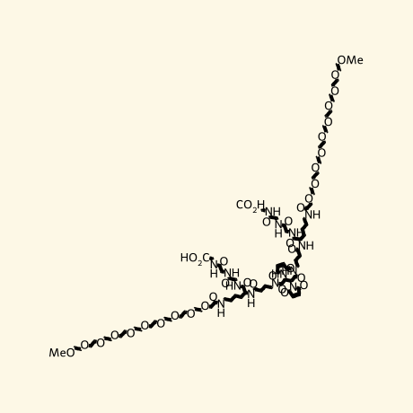 COCCOCCOCCOCCOCCOCCOCCOCCOCCOCC(=O)NCCCCC(NC(=O)CCCNC(=O)C(C(C(=O)NCCCC(=O)NC(CCCCNC(=O)COCCOCCOCCOCCOCCOCCOCCOCCOCCOC)C(=O)NCC(=O)NCC(=O)NCC(=O)O)N1C(=O)C=CC1=O)N1C(=O)C=CC1=O)C(=O)NCC(=O)NCC(=O)NCC(=O)O